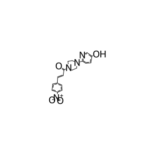 O=C(C=Cc1ccc([N+](=O)[O-])cc1)N1CCN(c2ccc(O)cn2)CC1